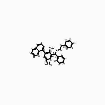 Cc1cc(-c2cccc3ccccc23)c(O)c(C(SCCc2ccccc2)c2ccccc2)c1